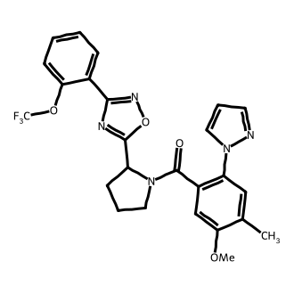 COc1cc(C(=O)N2CCCC2c2nc(-c3ccccc3OC(F)(F)F)no2)c(-n2cccn2)cc1C